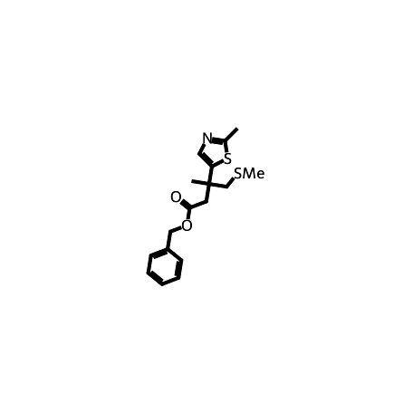 CSCC(C)(CC(=O)OCc1ccccc1)c1cnc(C)s1